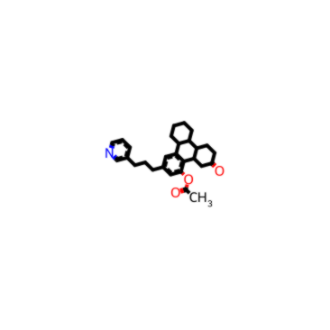 CC(=O)Oc1cc(CCCc2cccnc2)cc2c1C1CC(=O)CCC1C1CCCCC21